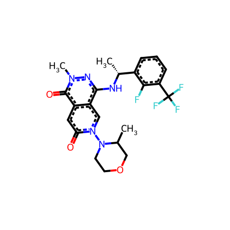 CC1COCCN1n1cc2c(N[C@H](C)c3cccc(C(F)(F)F)c3F)nn(C)c(=O)c2cc1=O